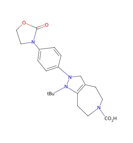 CC(C)(C)N1C2=C(CCN(C(=O)O)CC2)CN1c1ccc(N2CCOC2=O)cc1